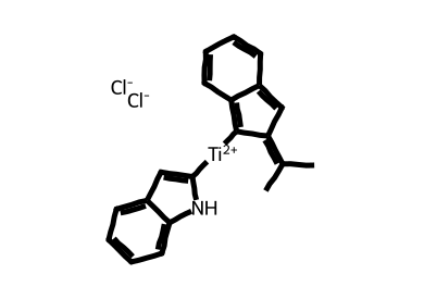 CC(C)=C1C=c2ccccc2=[C]1[Ti+2][c]1cc2ccccc2[nH]1.[Cl-].[Cl-]